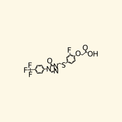 O=C(O)COc1ccc(SCn2ncn(-c3ccc(C(F)(F)F)cc3)c2=O)cc1F